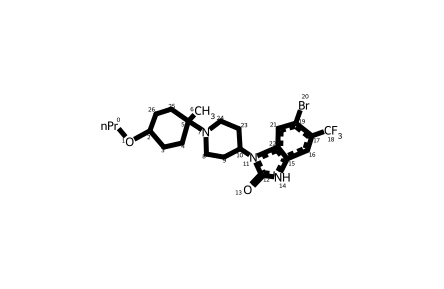 CCCOC1CCC(C)(N2CCC(n3c(=O)[nH]c4cc(C(F)(F)F)c(Br)cc43)CC2)CC1